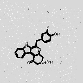 Br.O=C1CNCc2nc(Cc3ccc(O)c(F)c3)c3[nH]c4ccccc4c3c21